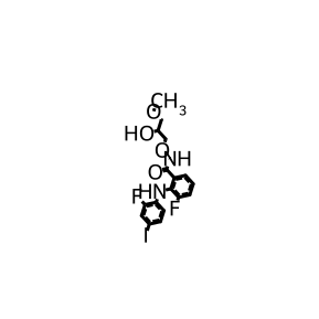 COCC(O)CONC(=O)c1cccc(F)c1Nc1ccc(I)cc1F